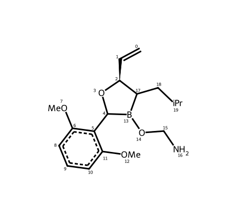 C=C[C@@H]1OC(c2c(OC)cccc2OC)B(OCN)C1CC(C)C